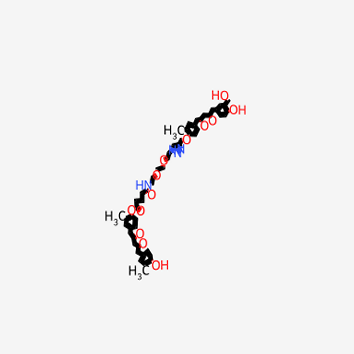 Cc1cc(CC(=O)CC(=O)Cc2ccc(OC(=O)CCCC(=O)NCCOCCOCCn3cc(COc4ccc(CC(=O)CC(=O)Cc5ccc(O)c(CO)c5)cc4C)nn3)c(C)c2)ccc1O